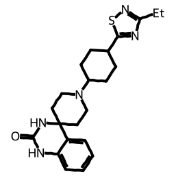 CCc1nsc(C2CCC(N3CCC4(CC3)NC(=O)Nc3ccccc34)CC2)n1